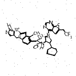 Cc1c(S(=O)(=O)NC2CN(c3ncnc4sc(CC(F)(F)F)cc34)CC2C2CCCCC2)ccc2c1cc(C#N)n2Cc1cn[nH]c1